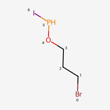 BrCCCOPI